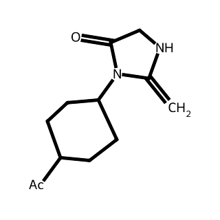 C=C1NCC(=O)N1C1CCC(C(C)=O)CC1